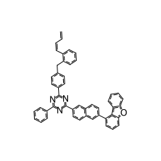 C=C/C=C\c1ccccc1Cc1ccc(-c2nc(-c3ccccc3)nc(-c3ccc4cc(-c5cccc6oc7ccccc7c56)ccc4c3)n2)cc1